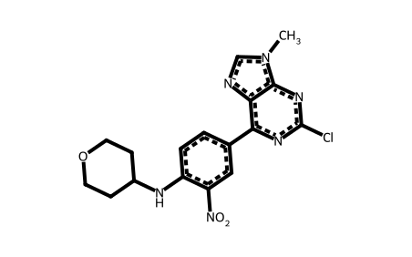 Cn1cnc2c(-c3ccc(NC4CCOCC4)c([N+](=O)[O-])c3)nc(Cl)nc21